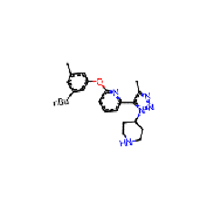 CCCCc1cc(C)cc(Oc2cccc(-c3c(C)nnn3C3CCNCC3)n2)c1